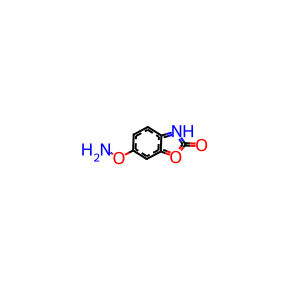 NOc1ccc2[nH]c(=O)oc2c1